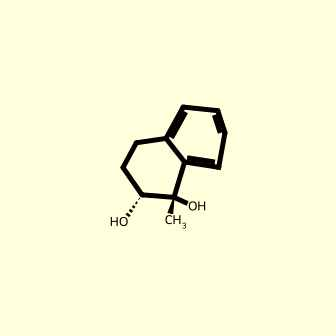 C[C@]1(O)c2ccccc2CC[C@H]1O